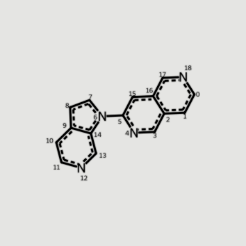 c1cc2cnc(-n3ccc4ccncc43)cc2cn1